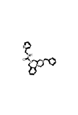 O=C(NCc1ccccn1)N1Cc2ccccc2N2CCN(Cc3ccccc3)CC2C1